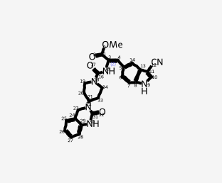 COC(=O)/C(=C/c1ccc2[nH]cc(C#N)c2c1)NC(=O)N1CCC(N2Cc3ccccc3NC2=O)CC1